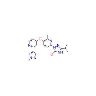 Cc1nc(-n2nc(C(C)C)[nH]c2=O)ccc1Oc1ccnc(-c2cnn(C)c2)c1